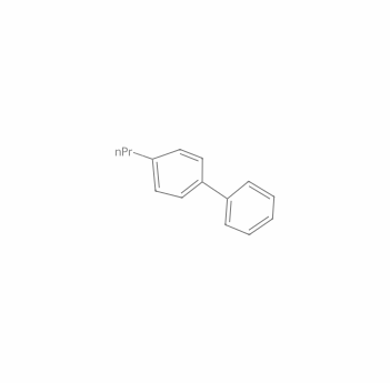 C[CH]Cc1ccc(-c2ccccc2)cc1